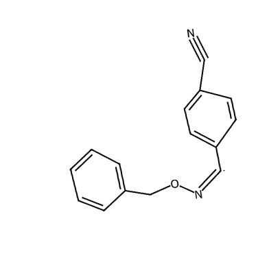 N#Cc1ccc(/[C]=N\OCc2ccccc2)cc1